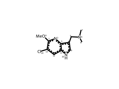 COc1nc2c(CN(C)C)c[nH]c2cc1Cl